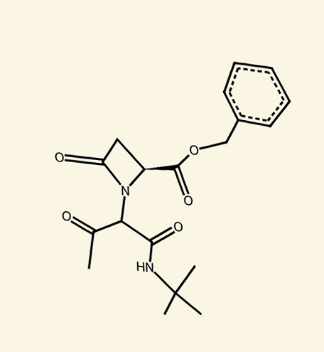 CC(=O)C(C(=O)NC(C)(C)C)N1C(=O)C[C@H]1C(=O)OCc1ccccc1